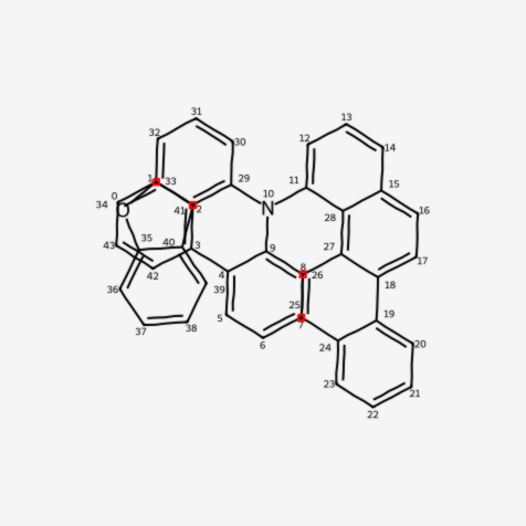 c1ccc(-c2ccccc2N(c2cccc3ccc4c5ccccc5ccc4c23)c2cccc3oc4ccccc4c23)cc1